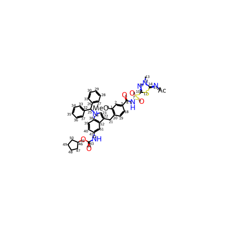 COc1cc(C(=O)NS(=O)(=O)c2nn(C)c(=NC(C)=O)s2)ccc1Cc1cn(C(c2ccccc2)c2ccccc2)c2ccc(NC(=O)OC3CCCC3)cc12